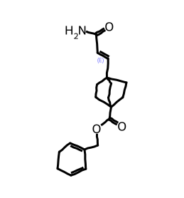 NC(=O)/C=C/C12CCC(C(=O)OCC3=CCCC=C3)(CC1)CC2